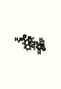 CC[C@H]1[C@@H](COc2cccc3cc(C(N)=O)c4nccn4c23)NC(=O)[C@@]1(C)F